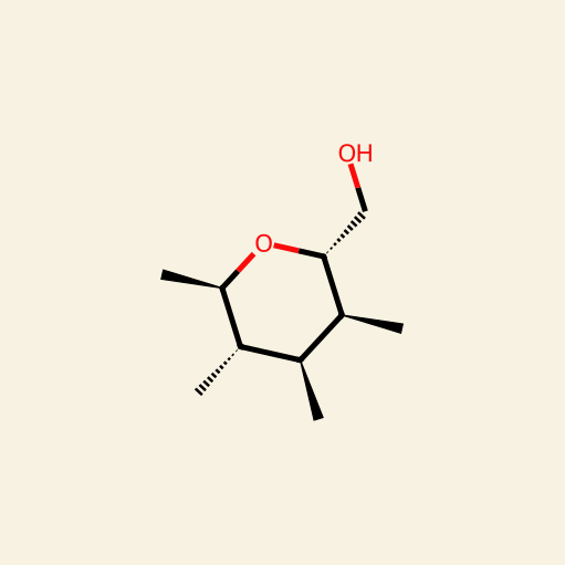 C[C@H]1[C@H](C)[C@@H](C)O[C@H](CO)[C@H]1C